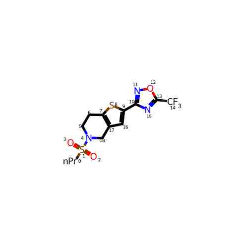 CCCS(=O)(=O)N1CCc2sc(-c3noc(C(F)(F)F)n3)cc2C1